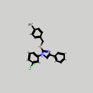 CC(C)c1ccc(CSc2nc(-c3ccccc3)cn2-c2cccc(F)c2)cc1